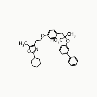 Cc1oc(C2CCCCC2)nc1CCOc1ccc(CC(C)(Oc2cccc(-c3ccccc3)c2)C(=O)O)cc1